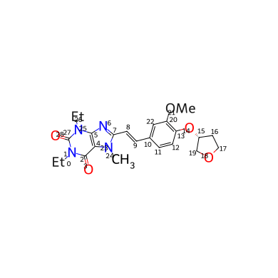 CCn1c(=O)c2c(nc(/C=C/c3ccc(O[C@@H]4CCOC4)c(OC)c3)n2C)n(CC)c1=O